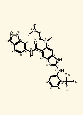 CN(C)CCN(C)c1cc2[nH]c(Nc3ccccc3C(F)(F)F)nc2cc1C(=O)Nc1ccc2cn[nH]c2c1